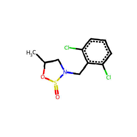 CC1CN(Cc2c(Cl)cccc2Cl)S(=O)O1